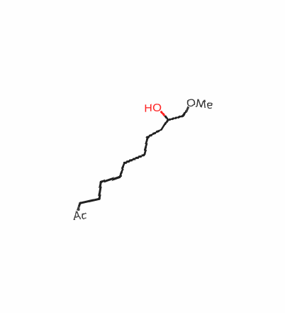 COCC(O)CCCCCCCCC(C)=O